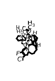 CC(C)(C)OC(=O)N1[C@H]2CCC3=C4C(=NCN31)N1C(=CC(Cl)=C(F)C=C1OC[C@@]13CCCN1C[C@H](F)C3)CCC[C@H]42